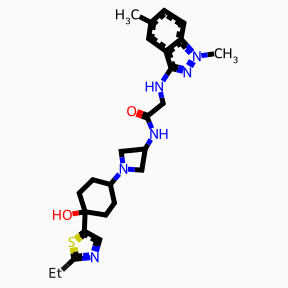 CCc1ncc(C2(O)CCC(N3CC(NC(=O)CNc4nn(C)c5ccc(C)cc45)C3)CC2)s1